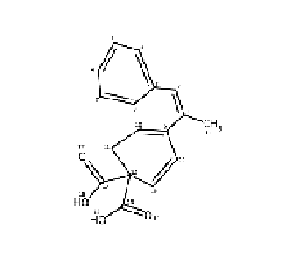 CC(=Cc1ccccc1)C1=CCC(C(=O)O)(C(=O)O)C=C1